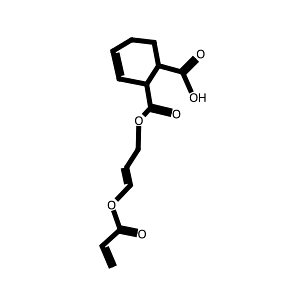 C=CC(=O)OC=CCOC(=O)C1C=CCCC1C(=O)O